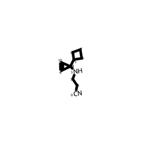 N#CCCNC1(C2CCC2)C#C1